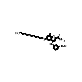 COc1cccc(Nc2cc(C(N)=O)nc3c(C)cc(SCCCCCCCCCCCO)cc23)c1